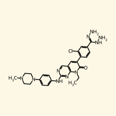 CCn1c(=O)c(-c2ccc(/C(=N/N)NN)cc2Cl)cc2cnc(Nc3ccc(N4CCN(C)CC4)cc3)nc21